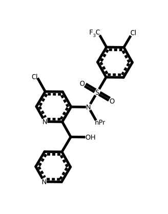 CCCN(c1cc(Cl)cnc1C(O)c1ccncc1)S(=O)(=O)c1ccc(Cl)c(C(F)(F)F)c1